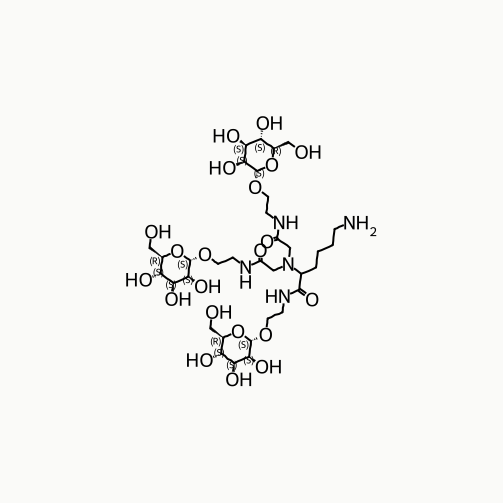 NCCCCC(C(=O)NCCO[C@H]1O[C@H](CO)[C@@H](O)[C@H](O)[C@@H]1O)N(CC(=O)NCCO[C@H]1O[C@H](CO)[C@@H](O)[C@H](O)[C@@H]1O)CC(=O)NCCO[C@H]1O[C@H](CO)[C@@H](O)[C@H](O)[C@@H]1O